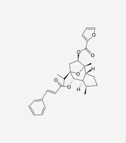 CC(C)[C@@]12C[C@@H](OC(=O)c3ccco3)[C@@](C)(O1)[C@@H]1CC[C@@H](C)[C@H]1[C@@H]2OC(=O)/C=C/c1ccccc1